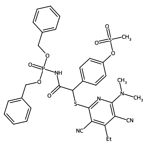 CCc1c(C#N)c(SC(C(=O)NP(=O)(OCc2ccccc2)OCc2ccccc2)c2ccc(OS(C)(=O)=O)cc2)nc(N(C)C)c1C#N